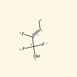 C/C=C(\F)C(O)(F)F